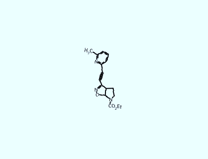 CCOC(=O)N1CCC2C(C#Cc3cccc(C)n3)=NOC21